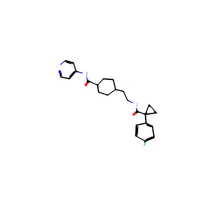 N[C@H](CNC(=O)C1(c2ccc(Cl)cc2)CC1)C1CCC(C(=O)Nc2ccncc2)CC1